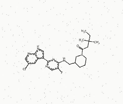 CCC(C)(C)CC(=O)N1CCCC(CNc2nc(-c3c[nH]c4ncc(Cl)cc34)ncc2F)C1